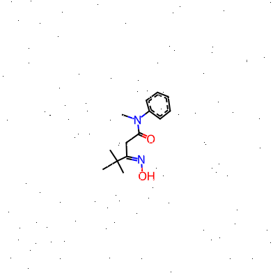 CN(C(=O)CC(=NO)C(C)(C)C)c1ccccc1